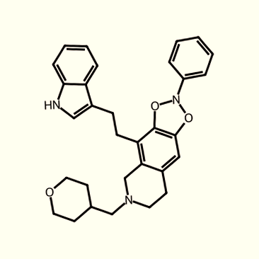 c1ccc(N2Oc3cc4c(c(CCc5c[nH]c6ccccc56)c3O2)CN(CC2CCOCC2)CC4)cc1